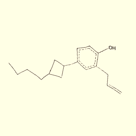 C=CCc1cc(C2CC(CCCC)C2)ccc1O